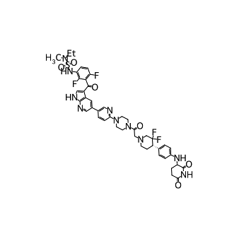 CCN(C)S(=O)(=O)Nc1ccc(F)c(C(=O)c2c[nH]c3ncc(-c4ccc(N5CCN(C(=O)CN6CC[C@@H](c7ccc(N[C@@H]8CCC(=O)NC8=O)cc7)C(F)(F)C6)CC5)nc4)cc23)c1F